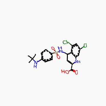 CC(C)(C)Nc1ccc(S(=O)(=O)NC2C=C(C(=O)O)Nc3cc(Cl)cc(Cl)c32)cc1